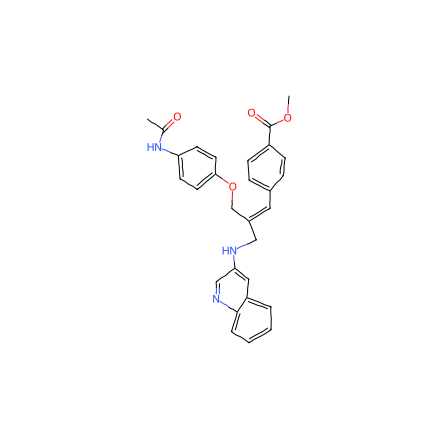 COC(=O)c1ccc(C=C(CNc2cnc3ccccc3c2)COc2ccc(NC(C)=O)cc2)cc1